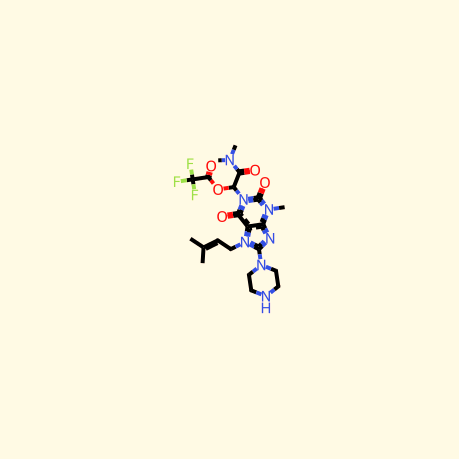 CC(C)=CCn1c(N2CCNCC2)nc2c1c(=O)n(C(OC(=O)C(F)(F)F)C(=O)N(C)C)c(=O)n2C